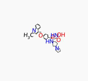 Cc1cc(COc2ccc(C(=O)N[C@]3(CC(=O)NO)CC[C@@H](N4CCCC4)CC3)cc2)c2ccccc2n1